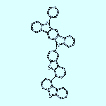 c1ccc(-n2c3ccccc3c3cc4c(cc32)c2ccccc2n4-c2ccc3sc4c(-c5cccc6sc7ccccc7c56)cccc4c3c2)cc1